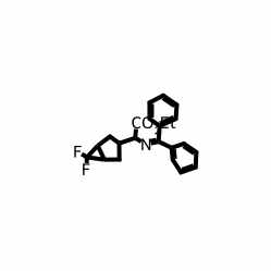 CCOC(=O)C(N=C(c1ccccc1)c1ccccc1)C1CC2C(C1)C2(F)F